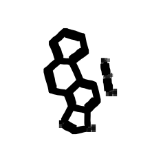 [N-]=[N+]=N.c1ccc2c(c1)ccc1c2ccc2[nH]cnc21